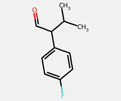 CC(C)C(C=O)c1ccc(F)cc1